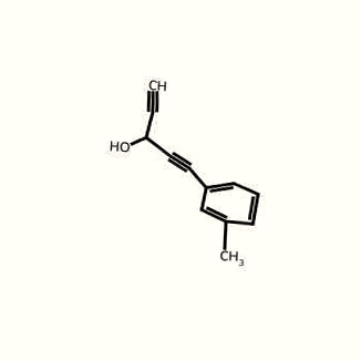 C#CC(O)C#Cc1cccc(C)c1